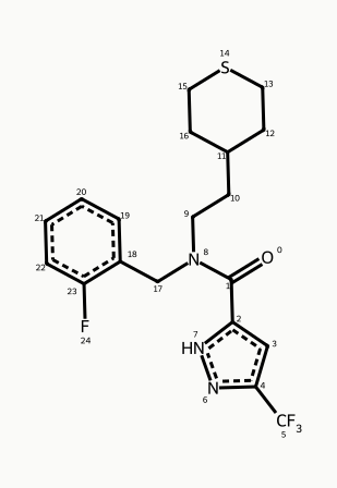 O=C(c1cc(C(F)(F)F)n[nH]1)N(CCC1CCSCC1)Cc1ccccc1F